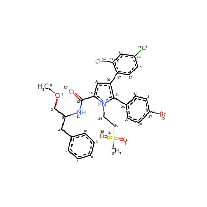 COCC(Cc1ccccc1)NC(=O)c1cc(-c2ccc(Cl)cc2Cl)c(-c2ccc(Br)cc2)n1CCS(C)(=O)=O